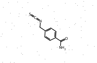 NC(=O)c1ccc(CN=C=S)cc1